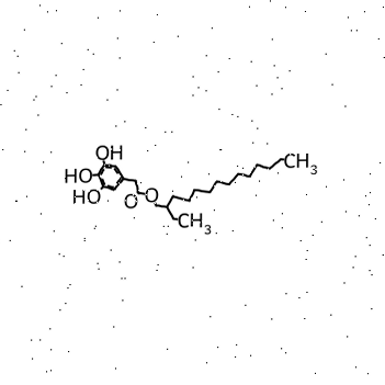 CCCCCCCCCCCCC(CC)COC(=O)Cc1cc(O)c(O)c(O)c1